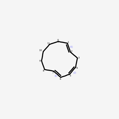 [CH]1/C=C/C/C=C\C=C\CCCC1